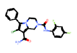 NC(=O)c1c(Cl)c(-c2ccccc2)n2c1CN(C(=O)Nc1ccc(F)cc1F)CC2